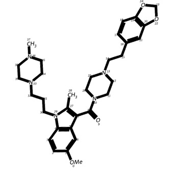 COc1ccc2c(c1)c(C(=O)N1CCN(CCc3ccc4c(c3)OCO4)CC1)c(C)n2CCCN1CCN(C)CC1